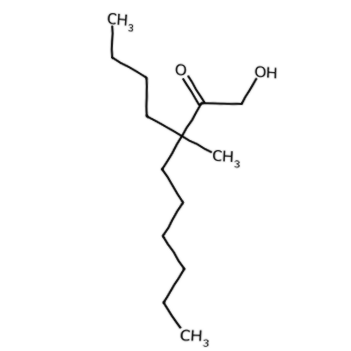 CCCCCCC(C)(CCCC)C(=O)CO